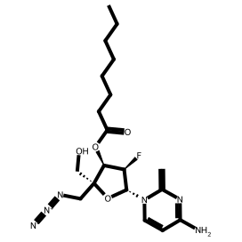 C=C1N=C(N)C=CN1[C@@H]1O[C@@](CO)(CN=[N+]=[N-])[C@@H](OC(=O)CCCCCCC)[C@H]1F